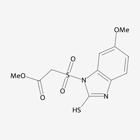 COC(=O)CS(=O)(=O)n1c(S)nc2ccc(OC)cc21